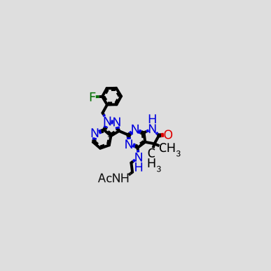 CC(=O)NCCNc1nc(-c2nn(Cc3ccccc3F)c3ncccc23)nc2c1C(C)(C)C(=O)N2